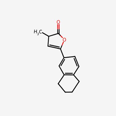 CC1C=C(c2ccc3c(c2)CCCC3)OC1=O